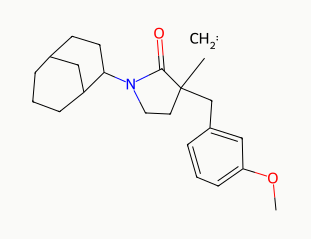 COc1cccc(CC2(C)CCN(C3CCC4CCCC3C4)C2=O)c1.[CH2]